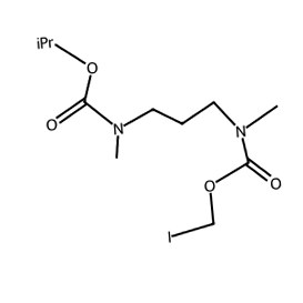 CC(C)OC(=O)N(C)CCCN(C)C(=O)OCI